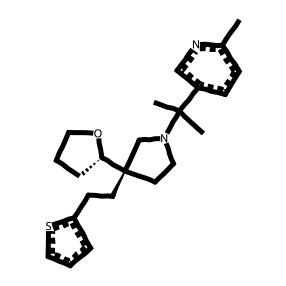 Cc1ccc(C(C)(C)N2CC[C@](CCc3cccs3)([C@@H]3CCCO3)C2)cn1